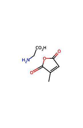 CC1=CC(=O)OC1=O.NCC(=O)O